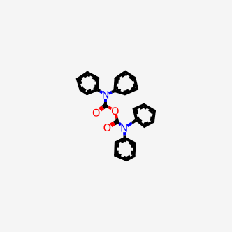 O=C(OC(=O)N(c1ccccc1)c1ccccc1)N(c1ccccc1)c1ccccc1